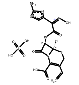 C=CC1=C(C(=O)O)N2C(=O)[C@@H](NC(=O)/C(=N\O)c3csc(N)n3)[C@H]2SC1.O=S(=O)(O)O